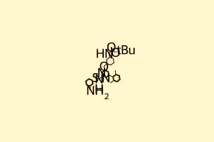 Cc1cccc(C)c1-c1cc(OC2CCCC(NC(=O)OC(C)(C)C)C2)nc(NSc2cccc(N)c2)n1